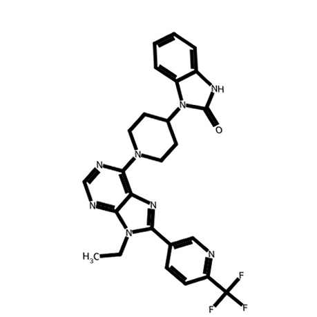 CCn1c(-c2ccc(C(F)(F)F)nc2)nc2c(N3CCC(n4c(=O)[nH]c5ccccc54)CC3)ncnc21